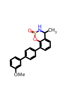 COc1cccc(-c2ccc(-c3cccc4c3OS(=O)NC4C)cc2)c1